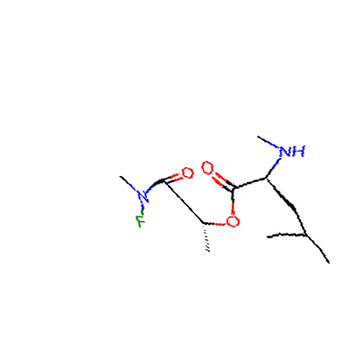 CN[C@@H](CC(C)C)C(=O)O[C@H](C)C(=O)N(C)F